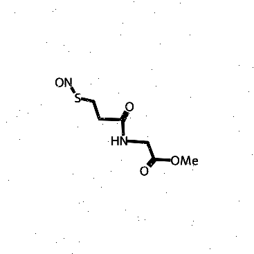 COC(=O)CNC(=O)CCSN=O